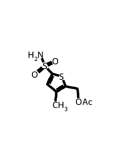 CC(=O)OCc1sc(S(N)(=O)=O)cc1C